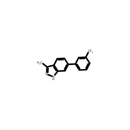 Cc1n[nH]c2cc(-c3cccc(C(F)(F)F)c3)ccc12